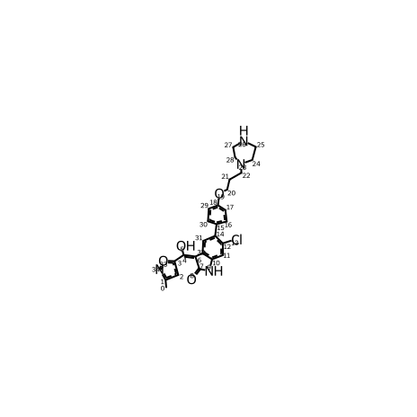 Cc1cc(C(O)=C2C(=O)Nc3cc(Cl)c(-c4ccc(OCCCN5CCNCC5)cc4)cc32)on1